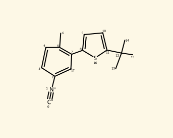 [C-]#[N+]c1ccc(C)c(-c2ccc(C(C)(C)C)s2)c1